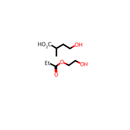 CC(CCO)C(=O)O.CCC(=O)OCCO